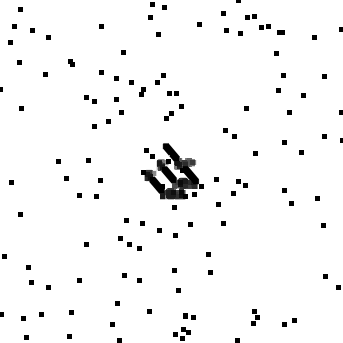 CCCCCCCC[S-].CCCCCCCC[S-].[CH3][Sn+2][CH3]